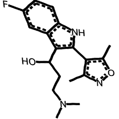 Cc1noc(C)c1-c1[nH]c2ccc(F)cc2c1C(O)CCN(C)C